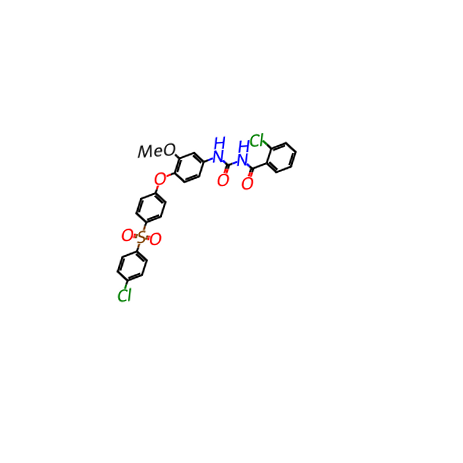 COc1cc(NC(=O)NC(=O)c2ccccc2Cl)ccc1Oc1ccc(S(=O)(=O)c2ccc(Cl)cc2)cc1